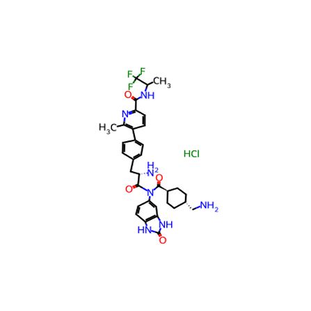 Cc1nc(C(=O)NC(C)C(F)(F)F)ccc1-c1ccc(C[C@H](N)C(=O)N(c2ccc3[nH]c(=O)[nH]c3c2)C(=O)[C@H]2CC[C@H](CN)CC2)cc1.Cl